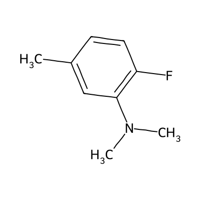 Cc1ccc(F)c(N(C)C)c1